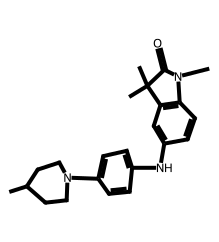 CC1CCN(c2ccc(Nc3ccc4c(c3)C(C)(C)C(=O)N4C)cc2)CC1